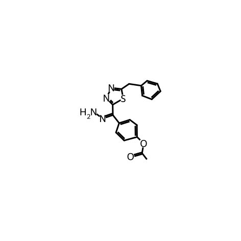 CC(=O)Oc1ccc(C(=NN)c2nnc(Cc3ccccc3)s2)cc1